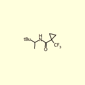 CC(NC(=O)C1(C(F)(F)F)CC1)C(C)(C)C